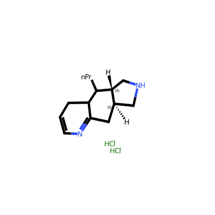 CCCC1C2CC=CN=C2C[C@@H]2CNC[C@@H]12.Cl.Cl